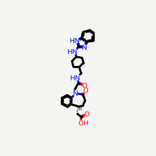 O=C(O)C[C@H]1CCC(=O)N(CC(=O)NCC2CCC(Nc3nc4ccccc4[nH]3)CC2)c2ccccc21